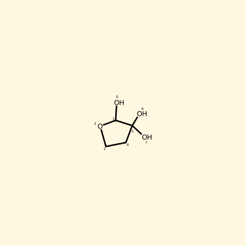 O[C]1OCCC1(O)O